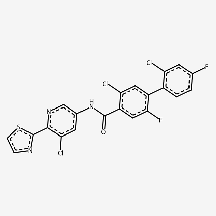 O=C(Nc1cnc(-c2nccs2)c(Cl)c1)c1cc(F)c(-c2ccc(F)cc2Cl)cc1Cl